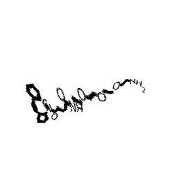 NCCOCCOCCOCCNC(=O)CCC(=O)N1Cc2ccccc2C#Cc2ccccc21